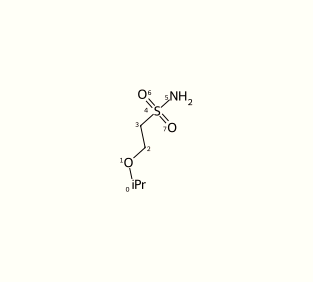 CC(C)OCCS(N)(=O)=O